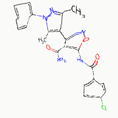 Cc1nn(-c2ccccc2)c(C)c1-c1noc(NC(=O)c2ccc(Cl)cc2)c1C(N)=O